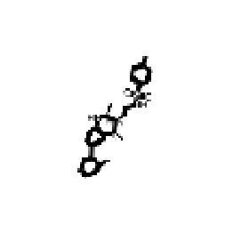 Cc1ccc(S(=O)(=O)NCC[C@@H]2[C@H](C)Nc3ccc(-c4ccccc4F)cc3[C@@H]2C)cc1